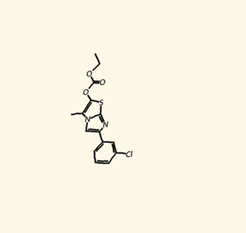 CCOC(=O)Oc1sc2nc(-c3cccc(Cl)c3)cn2c1C